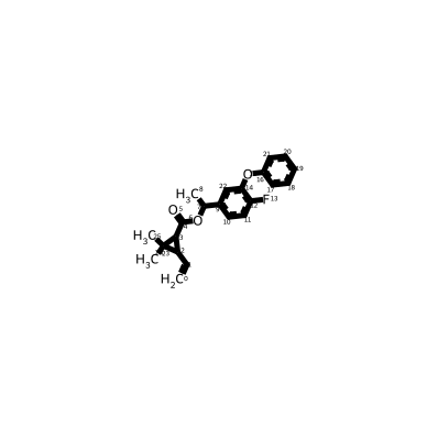 C=CC1C(C(=O)OC(C)c2ccc(F)c(Oc3ccccc3)c2)C1(C)C